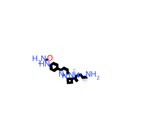 C=C(/C(F)=C\C=C/N)C1(Nc2ccc(-c3ccc(NC(N)=O)cc3)nn2)CCC1